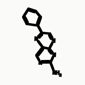 Nc1ncc2nc(-c3ccccc3)cnc2n1